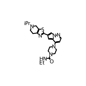 CCNC(=O)N1CCN(c2ccnn3cc(-c4nc5c(s4)CN(C(C)C)CC5)cc23)CC1